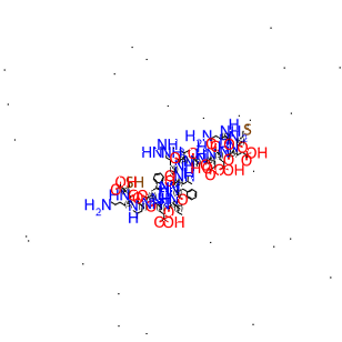 CC[C@H](C)[C@H](NC(=O)[C@H](Cc1ccccc1)NC(=O)[C@H](CC(C)C)NC(=O)[C@H](CCCNC(=N)N)NC(=O)[C@@H](NC(=O)[C@H](C)NC(=O)[C@H](CCC(=O)O)NC(=O)[C@H](CCC(=O)O)NC(=O)[C@H](CCC(=O)O)NC(=O)[C@H](CCSC)NC(=O)[C@@H](N)CCC(N)=O)C(C)C)C(=O)N[C@@H](CCC(=O)O)C(=O)N[C@@H](Cc1c[nH]c2ccccc12)C(=O)N[C@@H](CC(C)C)C(=O)N[C@@H](CCCCN)C(=O)N[C@@H](CS)C(=O)O